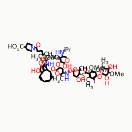 COC(=O)NC1C(=O)C[C@@]2(O)C#C/C=C\C#C[C@H](OC3OC(C)C(NOC4CC(O)C(SC(=O)c5c(C)c(I)c(OC6OC(C)C(O)C(OC)C6O)c(OC)c5OC)C(C)O4)C(O)C3OC3COCC(NC(C)C)C3OC)C1/C2=C\CSSC(C)(C)CCC(=O)N1CCC(C(=O)O)CC1